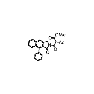 COC(=O)C(C(C)=O)C(=O)N1Cc2cc3ccccc3c(-c3ccccc3)c2C1=O